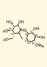 CO[C@@H]1O[C@H](CN2CC(O)C(O)[C@H](O)[C@H]2CO)[C@@H](O)[C@H](O)[C@H]1O